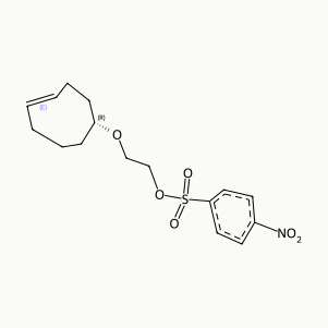 O=[N+]([O-])c1ccc(S(=O)(=O)OCCO[C@H]2CC/C=C/CCC2)cc1